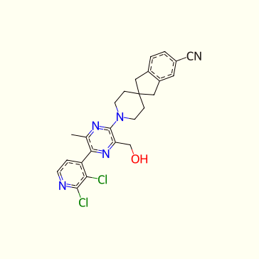 Cc1nc(N2CCC3(CC2)Cc2ccc(C#N)cc2C3)c(CO)nc1-c1ccnc(Cl)c1Cl